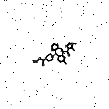 Cc1ccc2c(c1)C(C(=O)c1ncn(C)c1C)=Cc1cccnc1[C@H]2N1CCN(C(=O)OC(C)(C)C)CC1